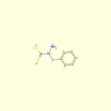 NN(Cc1ccccc1)C(=S)S